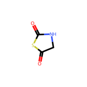 O=C1CNC(=O)S1